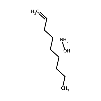 C=CCCCCCCC.NO